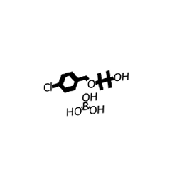 CC(C)(O)C(C)(C)OCc1ccc(Cl)cc1.OB(O)O